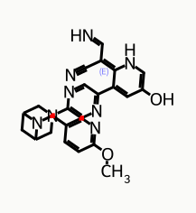 COc1ccc(CN2C3CC2CN(c2cnc(C4=CC(O)=CN/C4=C(/C#N)C=N)cn2)C3)cn1